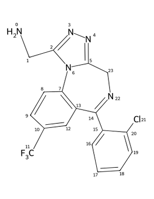 NCc1nnc2n1-c1ccc(C(F)(F)F)cc1C(c1ccccc1Cl)=NC2